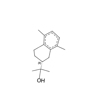 Cc1ccc(C)c2c1CC[C@@H](C(C)(C)O)C2